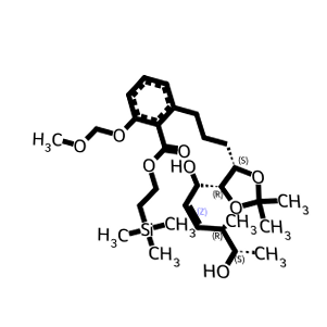 COCOc1cccc(CCC[C@@H]2OC(C)(C)O[C@@H]2C(O)/C=C\[C@@H](C)[C@H](C)O)c1C(=O)OCC[Si](C)(C)C